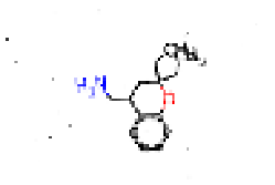 CCC1(CC)CC(CN)c2ccccc2O1